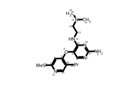 CSc1cc(Oc2cnc(N)nc2NCCN(C)C)c(C(C)C)cn1